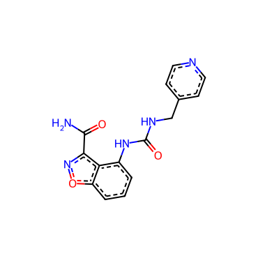 NC(=O)c1noc2cccc(NC(=O)NCc3ccncc3)c12